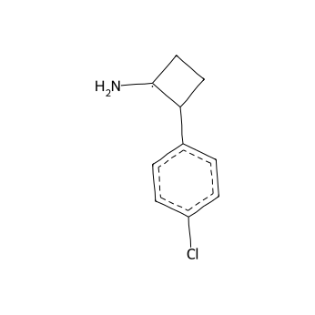 N[C]1CCC1c1ccc(Cl)cc1